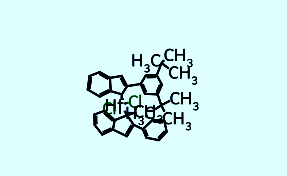 CC(C)(C)c1cc(C2=Cc3ccccc3[CH]2[Hf]([Cl])([Cl])[C]2(C)C(c3ccccc3)=Cc3ccccc32)cc(C(C)(C)C)c1